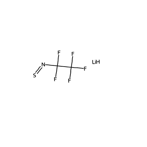 FC(F)(F)C(F)(F)N=S.[LiH]